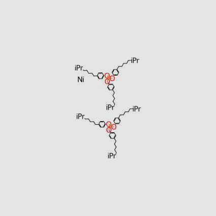 CC(C)CCCCCc1ccc(OP(Oc2ccc(CCCCCC(C)C)cc2)Oc2ccc(CCCCCC(C)C)cc2)cc1.CC(C)CCCCCc1ccc(OP(Oc2ccc(CCCCCC(C)C)cc2)Oc2ccc(CCCCCC(C)C)cc2)cc1.[Ni]